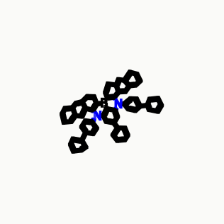 c1ccc(-c2ccc(N3c4cc(-c5ccccc5)cc5c4B(c4ccc6cc7ccccc7cc6c43)c3ccc4cc6ccccc6cc4c3N5c3ccc(-c4ccccc4)cc3)cc2)cc1